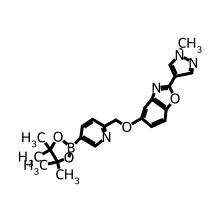 Cn1cc(-c2nc3cc(OCc4ccc(B5OC(C)(C)C(C)(C)O5)cn4)ccc3o2)cn1